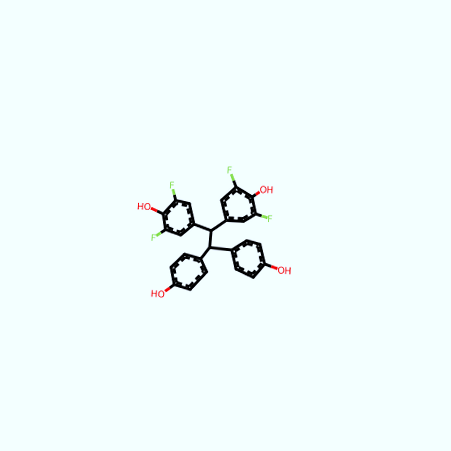 Oc1ccc(C(c2ccc(O)cc2)C(c2cc(F)c(O)c(F)c2)c2cc(F)c(O)c(F)c2)cc1